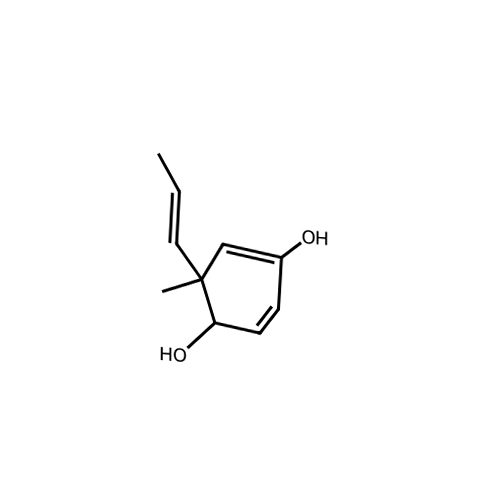 CC=CC1(C)C=C(O)C=CC1O